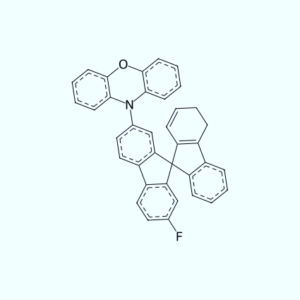 Fc1ccc2c(c1)C1(C3=C(CCC=C3)c3ccccc31)c1cc(N3c4ccccc4Oc4ccccc43)ccc1-2